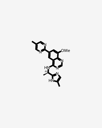 COc1cc(-c2ncc(C)cn2)cc2c(N[C@H](C)c3ncc(C)[nH]3)ncnc12